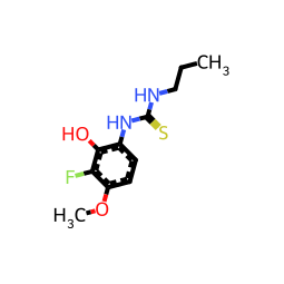 CCCNC(=S)Nc1ccc(OC)c(F)c1O